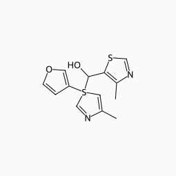 CC1=CS(c2ccoc2)(C(O)c2scnc2C)C=N1